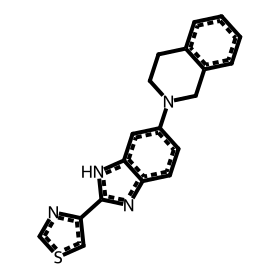 c1ccc2c(c1)CCN(c1ccc3nc(-c4cscn4)[nH]c3c1)C2